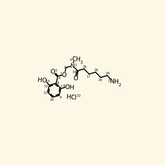 CN(COC(=O)c1c(O)cccc1O)C(=O)CCCCCN.Cl